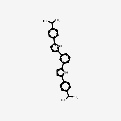 CC(C)c1ccc(-c2ccc(-c3cccc(-c4ccc(-c5ccc(C(C)C)cc5)[nH]4)c3)[nH]2)cc1